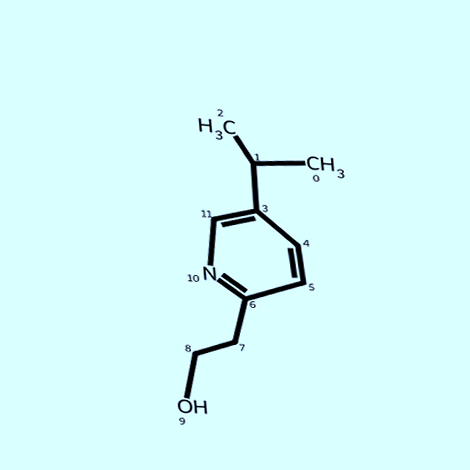 CC(C)c1ccc(CCO)nc1